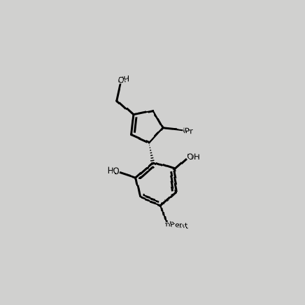 CCCCCc1cc(O)c([C@@H]2C=C(CO)CC2C(C)C)c(O)c1